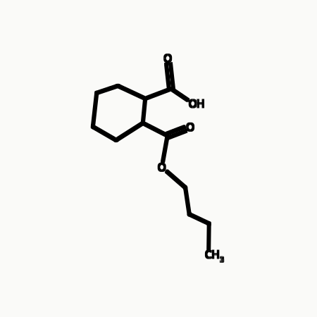 CCCCOC(=O)C1CCCCC1C(=O)O